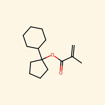 C=C(C)C(=O)OC1(C2CCCCC2)CCCC1